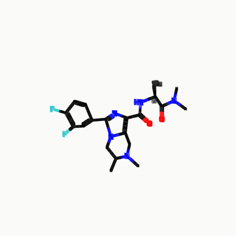 CC1Cn2c(-c3ccc(F)c(F)c3)nc(C(=O)N[C@H](C(=O)N(C)C)C(C)(C)C)c2CN1C